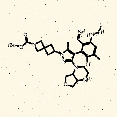 Cc1cc(NPI)c(C=N)c(-c2c(N3CCNC4COCC43)nn(C3CC4(C3)CN(C(=O)OC(C)(C)C)C4)c2C)c1Cl